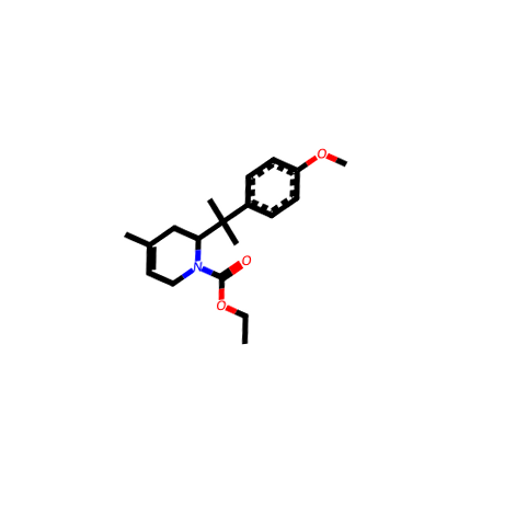 CCOC(=O)N1CC=C(C)CC1C(C)(C)c1ccc(OC)cc1